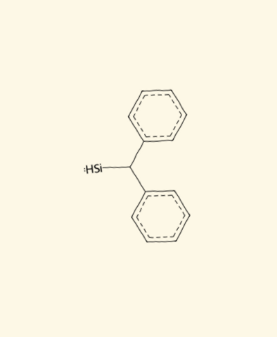 [SiH]C(c1ccccc1)c1ccccc1